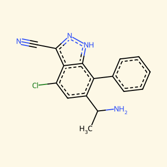 CC(N)c1cc(Cl)c2c(C#N)n[nH]c2c1-c1ccccc1